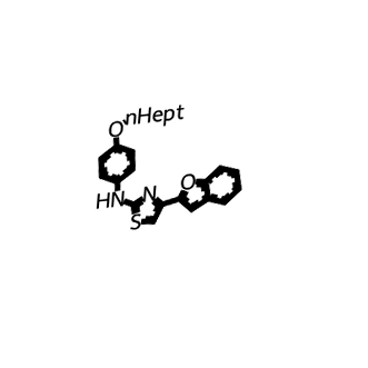 CCCCCCCOc1ccc(Nc2nc(-c3cc4ccccc4o3)cs2)cc1